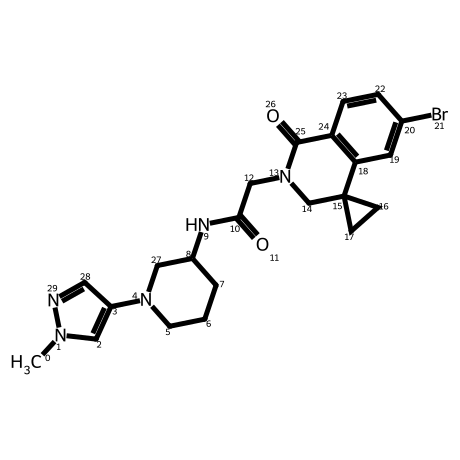 Cn1cc(N2CCCC(NC(=O)CN3CC4(CC4)c4cc(Br)ccc4C3=O)C2)cn1